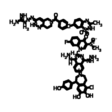 CC1=Nc2ccc(Cl)cc2S(=O)(=O)N1.Cn1cc([S+](C)[O-])c(=O)c2ccc(F)cc21.N/N=c1/cc2c(n[nH]1)CCN(C(=O)c1ccccc1)C2.N=C(N)N.NNc1nnc(NN)c2ccccc12.Oc1ccc(C2CNCCc3c2cc(O)c(O)c3Cl)cc1